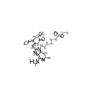 CCOC(=O)CCCCCCn1c(Sc2cc3c(cc2Cl)OCO3)nc2c(N)nccc21